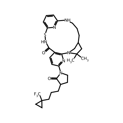 CC1(C)CC2CCCNc3cccc(n3)SNC(=O)c3ccc(N4CCC(CCCC5(C(F)(F)F)CC5)C4=O)nc3N1C2